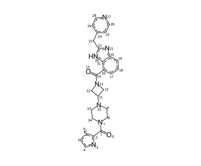 O=C(c1nccs1)N1CCN(C2CN(C(=O)c3cccc4nc(Cc5ccncc5)[nH]c34)C2)CC1